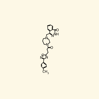 Cc1ccc(-c2noc(CCC(=O)N3CCCN(Cc4n[nH]c(=O)c5ccccc45)CC3)n2)cc1